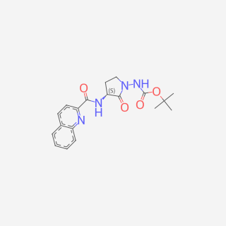 CC(C)(C)OC(=O)NN1CC[C@H](NC(=O)c2ccc3ccccc3n2)C1=O